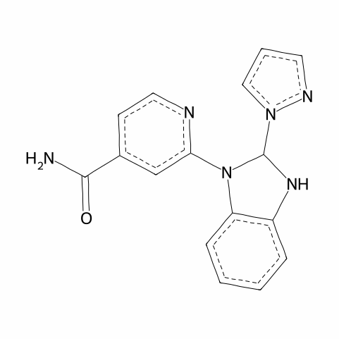 NC(=O)c1ccnc(N2c3ccccc3NC2n2cccn2)c1